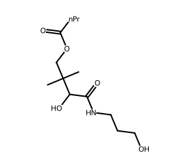 CCCC(=O)OCC(C)(C)C(O)C(=O)NCCCO